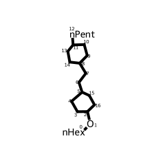 CCCCCCOC1CCC(CCC2CCC(CCCCC)CC2)CC1